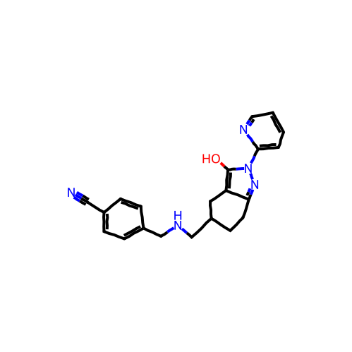 N#Cc1ccc(CNCC2CCc3nn(-c4ccccn4)c(O)c3C2)cc1